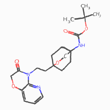 CC(C)(C)OC(=O)NC12CCC(CCN3C(=O)COc4cccnc43)(CC1)OC2